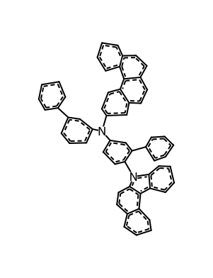 c1ccc(-c2cccc(N(c3ccc(-n4c5ccccc5c5c6ccccc6ccc54)c(-c4ccccc4)c3)c3ccc4c(ccc5ccc6ccccc6c54)c3)c2)cc1